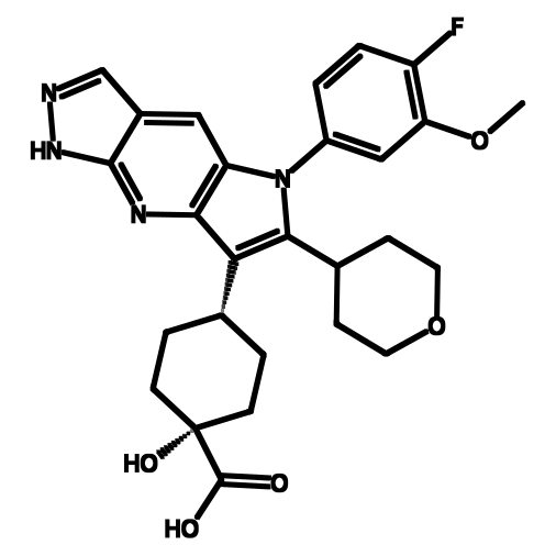 COc1cc(-n2c(C3CCOCC3)c([C@H]3CC[C@](O)(C(=O)O)CC3)c3nc4[nH]ncc4cc32)ccc1F